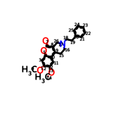 COc1cc2oc(=O)c3c(c2cc1OC)CCN(CCc1ccccc1)C3